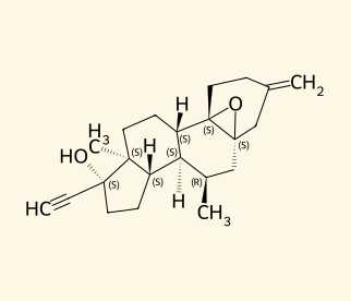 C#C[C@]1(O)CC[C@H]2[C@@H]3[C@H](C)C[C@]45CC(=C)CC[C@]4(O5)[C@H]3CC[C@@]21C